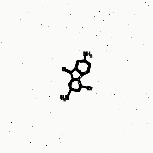 Nc1ccc2c(c1)C(=O)c1cc(N)cc(Br)c1-2